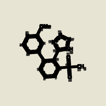 COc1cc(-c2cccc(S(C)(=O)=O)c2-c2nnn[nH]2)ccn1